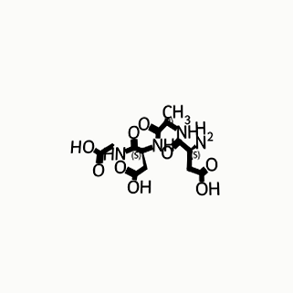 C[C@@H](NC(=O)[C@@H](N)CC(=O)O)C(=O)N[C@@H](CC(=O)O)C(=O)NCC(=O)O